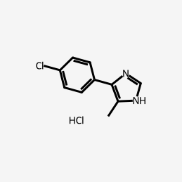 Cc1[nH]cnc1-c1ccc(Cl)cc1.Cl